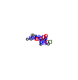 CC(C)[C@H](NC(=O)[C@H](C)NC[C@H](Cc1ccccc1)NC(=O)c1cc(C(=O)N[C@H](C)c2cccc(Cl)c2)cc(N(C)S(C)(=O)=O)c1)C(=O)NCc1ccc(-c2ccccc2)cc1